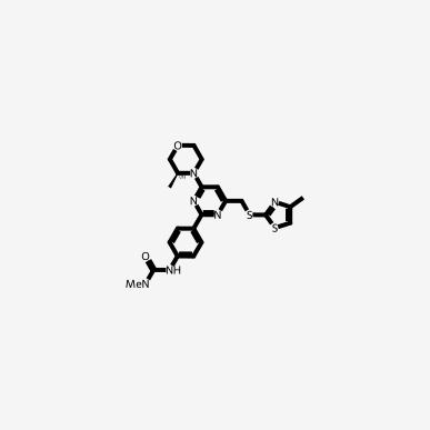 CNC(=O)Nc1ccc(-c2nc(CSc3nc(C)cs3)cc(N3CCOC[C@@H]3C)n2)cc1